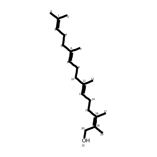 CC(C)=CCC/C(C)=C/CC/C(C)=C/CC/C(C)=C(/C)CO